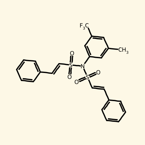 Cc1cc(N(S(=O)(=O)/C=C/c2ccccc2)S(=O)(=O)/C=C/c2ccccc2)cc(C(F)(F)F)c1